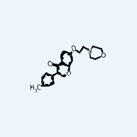 Cc1ccc(-c2coc3cc(OCCN4CCOCC4)ccc3c2=O)cc1